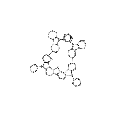 c1ccc(-n2c3ccccc3c3cc(-c4ccc5c(c4)c4c6sc7c(ccc8c7c7cc(-c9ccc%10c(c9)c9ccccc9n%10-c9ccccc9)ccc7n8-c7ccccc7)c6ccc4n5-c4ccccc4)ccc32)cc1